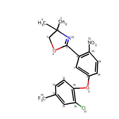 CC1(C)COC(c2cc(Oc3ccc(C(F)(F)F)cc3Cl)ccc2[N+](=O)[O-])=N1